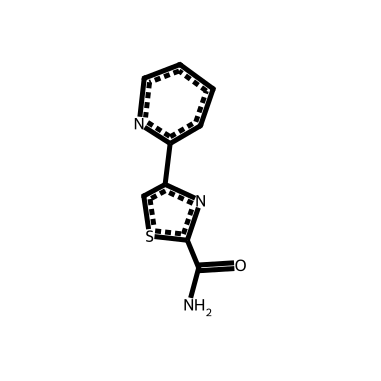 NC(=O)c1nc(-c2ccccn2)cs1